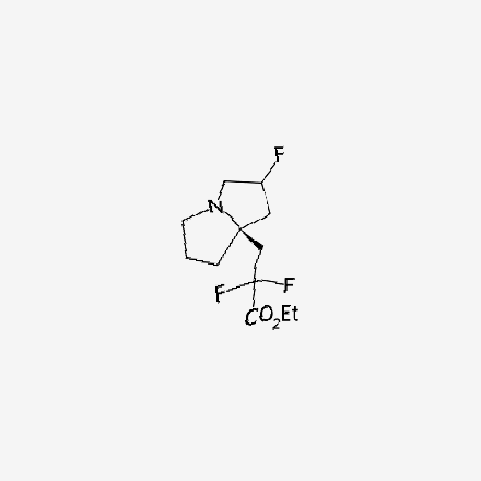 CCOC(=O)C(F)(F)C[C@@]12CCCN1CC(F)C2